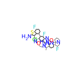 CC(c1cccnc1N)N1CCOc2c(Cl)c(-c3ccc(F)c4sc(N)c(C#N)c34)c(F)c3nc(OC[C@@]45CCCN4C[C@H](F)C5)nc1c23